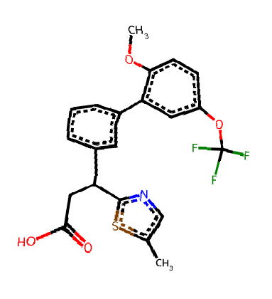 COc1ccc(OC(F)(F)F)cc1-c1cccc(C(CC(=O)O)c2ncc(C)s2)c1